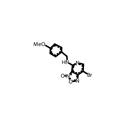 COc1ccc(CNc2ncc(Br)c3no[n+]([O-])c23)cc1